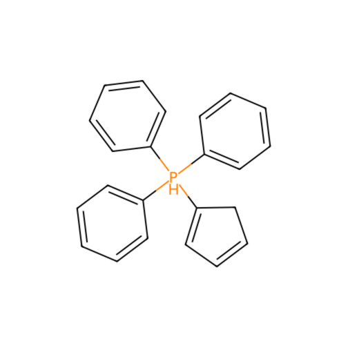 C1=CCC([PH](c2ccccc2)(c2ccccc2)c2ccccc2)=C1